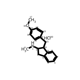 CNC1Cc2ccccc2C1Cc1ccc(OC)cc1.Cl